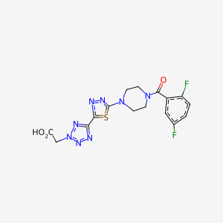 O=C(O)Cn1nnc(-c2nnc(N3CCN(C(=O)c4cc(F)ccc4F)CC3)s2)n1